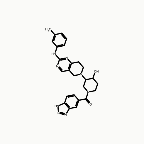 Cc1cccc(Nc2ncc3c(n2)CCN(C2CN(C(=O)c4ccc5[nH]nnc5c4)CCC2O)C3)c1